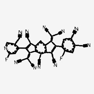 N#CC(C#N)=C1C(c2cc(C#N)c(C#N)cc2F)=C(C#N)c2c1cc1c(c2C#N)C(=C(C#N)C#N)C(c2cc(F)ncc2C#N)=C1C#N